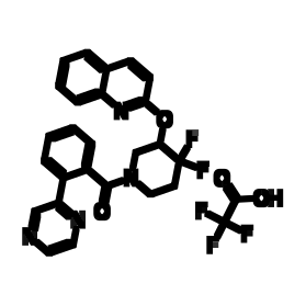 O=C(O)C(F)(F)F.O=C(c1ccccc1-c1cnccn1)N1CCC(F)(F)C(Oc2ccc3ccccc3n2)C1